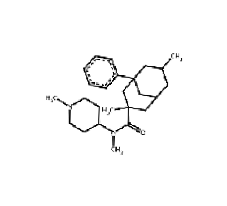 CC1CC2CC(C)(C(=O)N(C)C3CCN(C)CC3)CC(c3ccccc3)(C1)C2